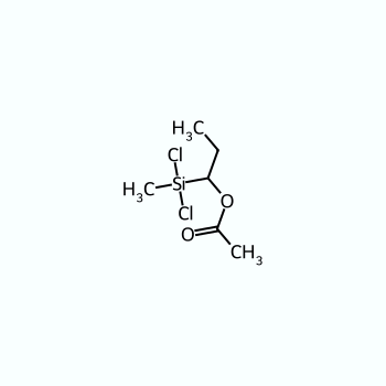 CCC(OC(C)=O)[Si](C)(Cl)Cl